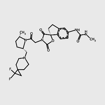 CNC(=O)Nc1ccc2c(c1)CC[C@@]21OC(=O)N(CC(=O)N2[C@H](CN3CCC4(CC3)CC4(F)F)CC[C@@H]2C)C1=O